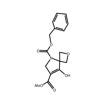 COC(=O)C1=C(O)C2(COC2)N(C(=O)OCc2ccccc2)C1